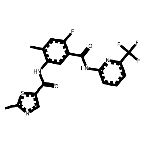 Cc1ncc(C(=O)Nc2cc(C(=O)Nc3cccc(C(F)(F)F)n3)c(F)cc2C)s1